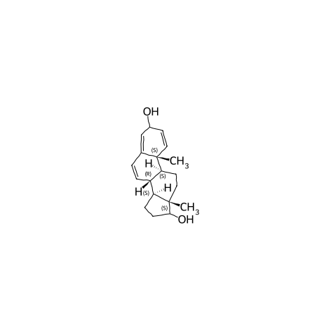 C[C@]12C=CC(O)C=C1C=C[C@@H]1[C@@H]2CC[C@]2(C)C(O)CC[C@@H]12